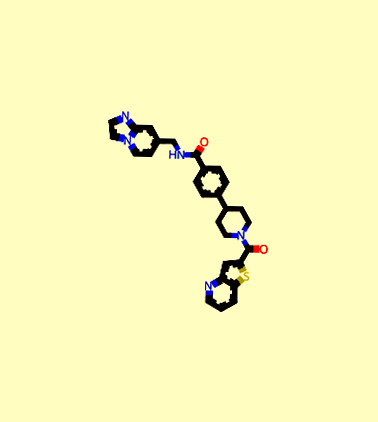 O=C(NCc1ccn2ccnc2c1)c1ccc(C2CCN(C(=O)c3cc4ncccc4s3)CC2)cc1